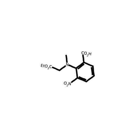 CCOC(=O)CN(C)c1c(C(=O)O)cccc1[N+](=O)[O-]